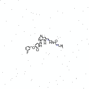 CN(C)C/C=C/C(=O)NC/C=C/c1cc2ncnc(Nc3ccc(OCc4cccc(F)c4)c(Cl)c3)c2[nH]1